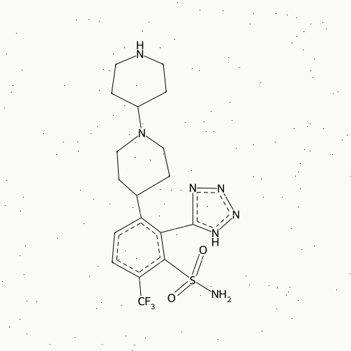 NS(=O)(=O)c1c(C(F)(F)F)ccc(C2CCN(C3CCNCC3)CC2)c1-c1nnn[nH]1